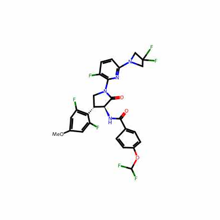 COc1cc(F)c([C@@H]2CN(c3nc(N4CC(F)(F)C4)ccc3F)C(=O)[C@H]2NC(=O)c2ccc(OC(F)F)cc2)c(F)c1